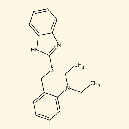 CCN(CC)c1ccccc1CSc1nc2ccccc2[nH]1